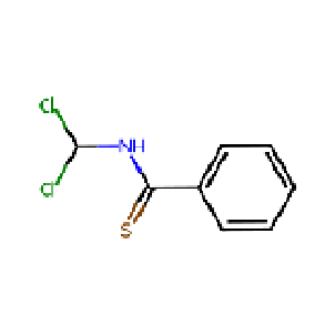 S=C(NC(Cl)Cl)c1ccccc1